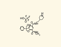 CNC(=O)c1cc(C(=O)NCCC2CCNCC2)cc2c1OCC2(CO)c1ccccc1.O=C(O)C(F)(F)F